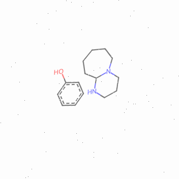 C1CCC2NCCCN2CC1.Oc1ccccc1